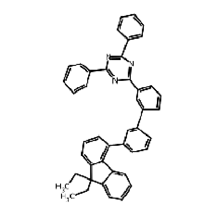 CCC1(CC)c2ccccc2-c2c(-c3cccc(-c4cccc(-c5nc(-c6ccccc6)nc(-c6ccccc6)n5)c4)c3)cccc21